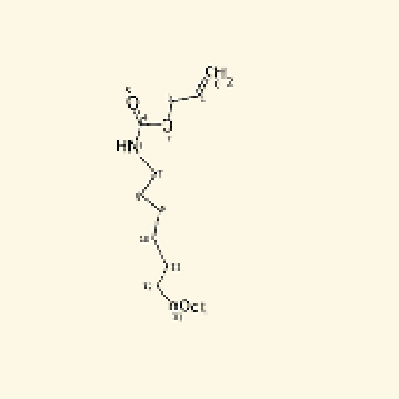 C=CCOC(=O)NCCCCCCCCCCCCCC